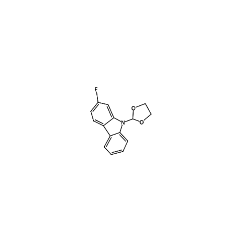 Fc1ccc2c3ccccc3n(C3OCCO3)c2c1